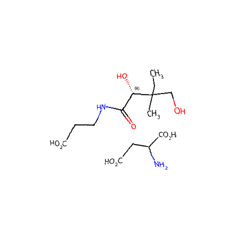 CC(C)(CO)[C@@H](O)C(=O)NCCC(=O)O.NC(CC(=O)O)C(=O)O